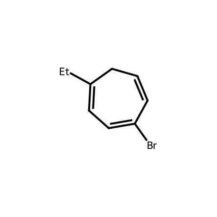 CCC1=CC=C(Br)C=CC1